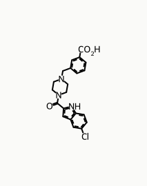 O=C(O)c1cccc(CN2CCN(C(=O)c3cc4cc(Cl)ccc4[nH]3)CC2)c1